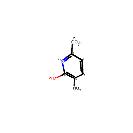 O=C(O)c1ccc([N+](=O)[O-])c(O)n1